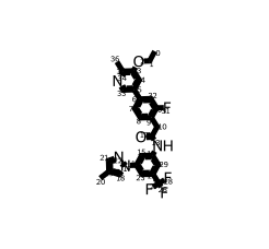 CCOc1cc(-c2ccc(CC(=O)Nc3cc(-n4cc(C)cn4)cc(C(F)(F)F)c3)c(F)c2)cnc1C